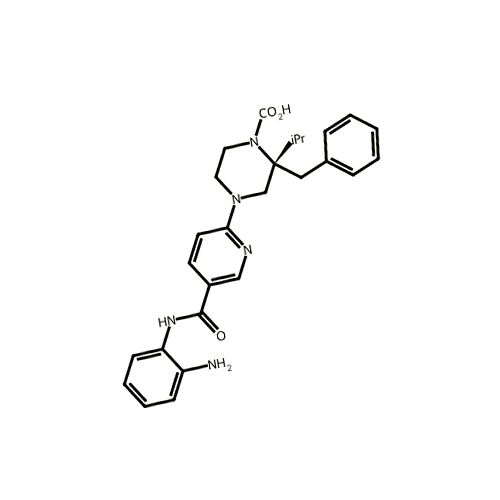 CC(C)[C@@]1(Cc2ccccc2)CN(c2ccc(C(=O)Nc3ccccc3N)cn2)CCN1C(=O)O